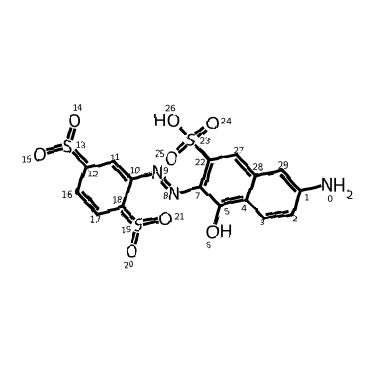 Nc1ccc2c(O)c(N=NC3=CC(=S(=O)=O)C=CC3=S(=O)=O)c(S(=O)(=O)O)cc2c1